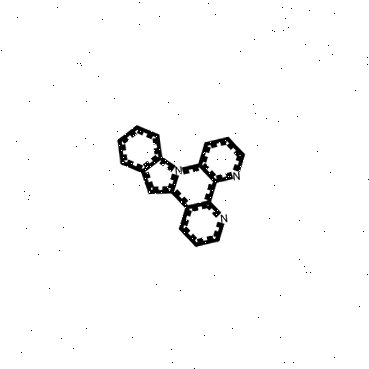 c1ccc2c(c1)cc1c3cccnc3c3ncccc3n21